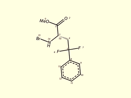 COC(=O)[C@H](CC(F)(F)c1ccccc1)NBr